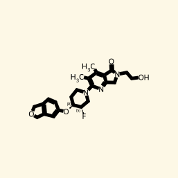 Cc1c(N2CC[C@@H](Oc3ccc4c(c3)COC4)[C@@H](F)C2)nc2c(c1C)C(=O)N(CCO)C2